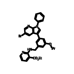 CCOC(=O)c1cccnc1NCc1cc(OC(C)C)cc(-c2cn(-c3ccccc3)c3ncc(Br)cc23)c1